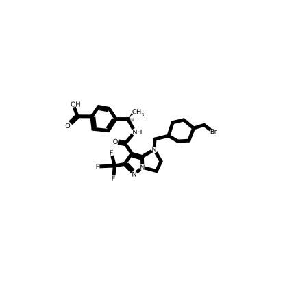 C[C@H](NC(=O)c1c(C(F)(F)F)nn2c1N(CC1CCC(CBr)CC1)CC2)c1ccc(C(=O)O)cc1